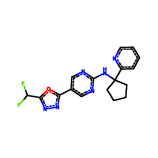 FC(F)c1nnc(-c2cnc(NC3(c4ccccn4)CCCC3)nc2)o1